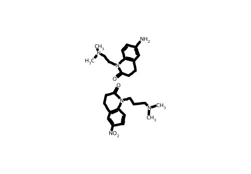 CN(C)CCCN1C(=O)CCc2cc([N+](=O)[O-])ccc21.CN(C)CCN1C(=O)CCc2cc(N)ccc21